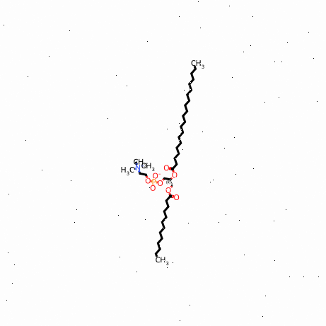 CCCCCCCCCCCCCCCCCCCCC(=O)O[C@H](COC(=O)CCCCCCCCCCCC)COP(=O)([O-])OCC[N+](C)(C)C